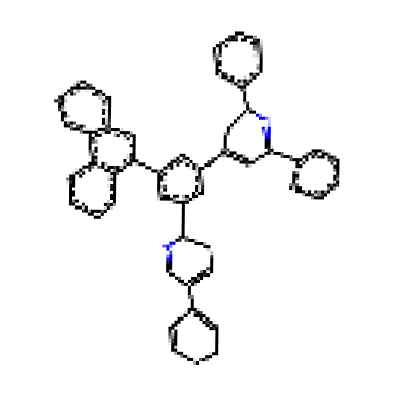 C1=CC(C2=CCC(c3cc(C4=CC(c5ccccc5)=NC(c5ccccc5)C4)cc(-c4cc5ccccc5c5ccccc45)c3)N=C2)=CCC1